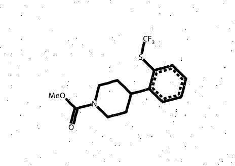 COC(=O)N1CCC(c2ccccc2SC(F)(F)F)CC1